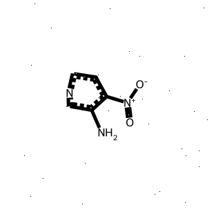 Nc1[c]nccc1[N+](=O)[O-]